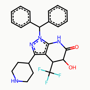 O=C1Nc2c(c(C3CCNCC3)nn2C(c2ccccc2)c2ccccc2)C(C(F)(F)F)C1O